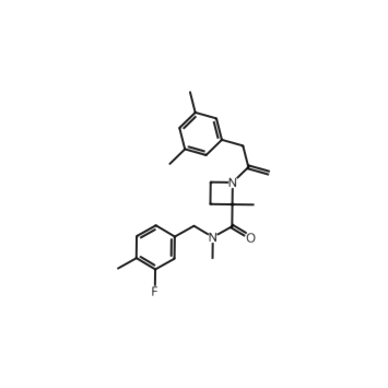 C=C(Cc1cc(C)cc(C)c1)N1CCC1(C)C(=O)N(C)Cc1ccc(C)c(F)c1